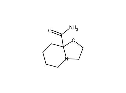 NC(=O)C12CCCCN1CCO2